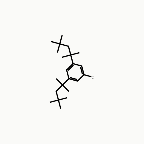 CC(C)(C)CC(C)(C)c1cc(Cl)cc(C(C)(C)CC(C)(C)C)c1